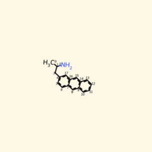 CC(N)Cc1ccc2cc3ccccc3cc2c1